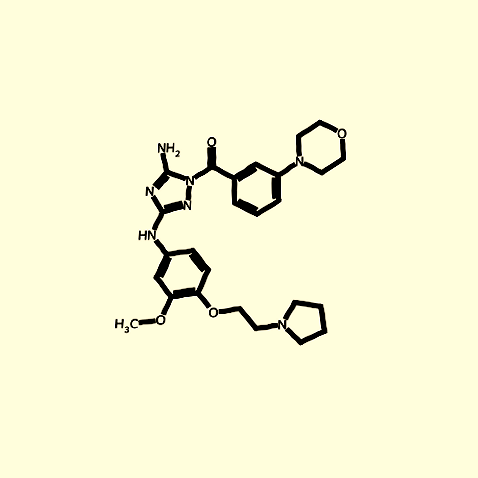 COc1cc(Nc2nc(N)n(C(=O)c3cccc(N4CCOCC4)c3)n2)ccc1OCCN1CCCC1